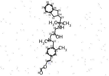 Cc1cc(/C=C/OC=O)ccc1CN(C)C[C@H](O)CNC(C)(C)CC1Cc2ccccc2C1